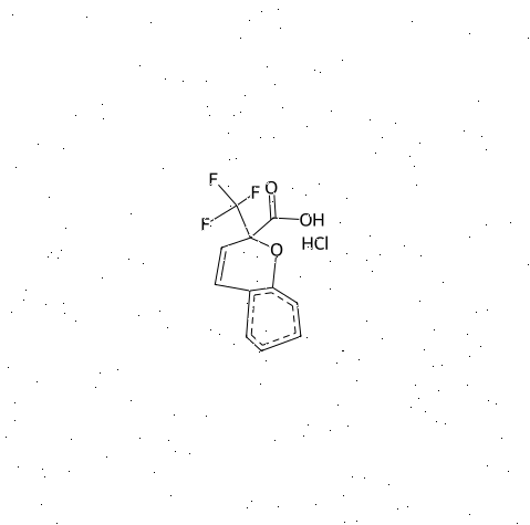 Cl.O=C(O)C1(C(F)(F)F)C=Cc2ccccc2O1